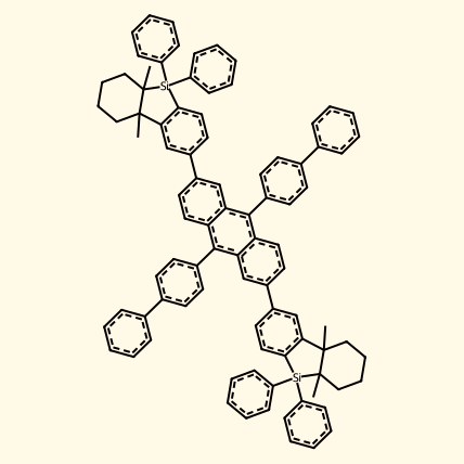 CC12CCCCC1(C)[Si](c1ccccc1)(c1ccccc1)c1ccc(-c3ccc4c(-c5ccc(-c6ccccc6)cc5)c5cc(-c6ccc7c(c6)C6(C)CCCCC6(C)[Si]7(c6ccccc6)c6ccccc6)ccc5c(-c5ccc(-c6ccccc6)cc5)c4c3)cc12